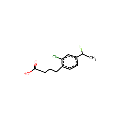 CC(F)c1ccc(CCCC(=O)O)c(Cl)c1